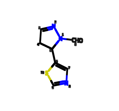 O=CN1N=CCC1c1cncs1